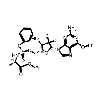 CCOc1nc(N)nc2c1ncn2[C@@H]1O[C@H](CO[P@@](=S)(N[C@H](C)C(=O)OC(C)C)Oc2ccccc2)[C@@H](O)C1(Cl)Cl